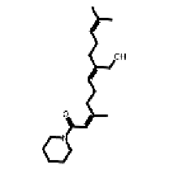 CC(C)=CCCC(=CCCC(C)=CC(=O)N1CCCCC1)CO